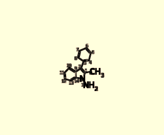 Cc1c(-c2ccccc2)c2ccccc2n1N